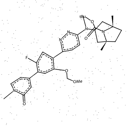 COCOc1cc(-c2ccn(C)c(=O)c2)c(F)cc1-c1ccc(N(C)C2C[C@]3(C)CC[C@](C)(C2)N3C(=O)OC(C)(C)C)nn1